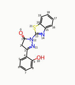 O=C1CC(c2ccccc2O)=NN1c1nc2ccccc2s1